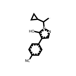 [CH2]C(C1CC1)n1ncc(-c2ccc(C#N)cc2)c1O